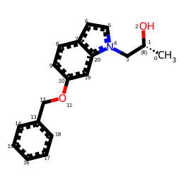 C[C@@H](O)Cn1ccc2ccc(OCc3ccccc3)cc21